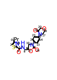 CC(C)c1csc(C(=O)NC[C@H]2CN(c3ccc(N4CCOCC4=O)cc3)C(=O)O2)n1